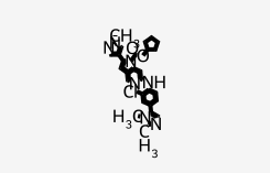 Cc1ncc(-c2ccc(Nc3cc4c(cn3)cc(-c3cnn(C)c3)n4C(=O)OC3CCCC3)c(Cl)c2)n1C